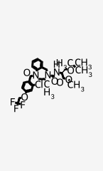 COC(=O)[C@H](COC(C)(C)C)NC(=O)N1Cc2ccccc2N(C(=O)c2ccc(OCC(F)(F)F)cc2Cl)C[C@H]1C